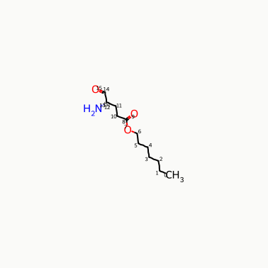 CCCCCCCOC(=O)CC[C@H](N)C=O